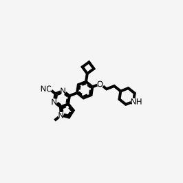 Cn1ccc2c(-c3ccc(OCCC4CCNCC4)c(C4CCC4)c3)nc(C#N)nc21